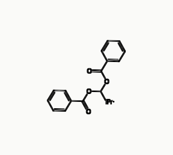 C[C](C)C(OC(=O)c1ccccc1)OC(=O)c1ccccc1